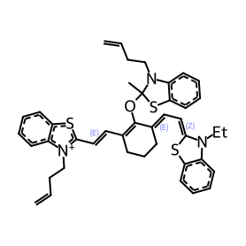 C=CCCN1c2ccccc2SC1(C)OC1=C(/C=C/c2sc3ccccc3[n+]2CCC=C)CCC/C1=C\C=C1/Sc2ccccc2N1CC